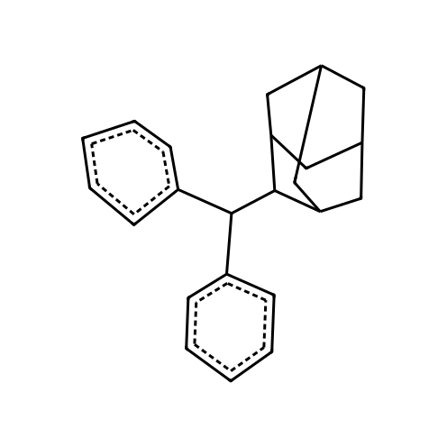 c1ccc(C(c2ccccc2)C2C3CC4CC(C3)CC2C4)cc1